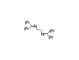 CC(C)C(=NCCN=C(C(C)C)C(C)C)C(C)C